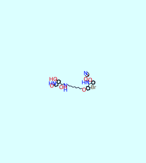 O=C(NC(c1ccccc1)c1cc(OCCCCCCCCCNCC(O)c2ccc(O)c3[nH]c(=O)ccc23)ccc1Br)OC1CN2CCC1CC2